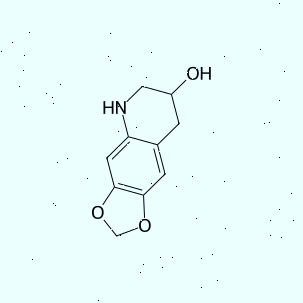 OC1CNc2cc3c(cc2C1)OCO3